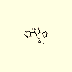 NCCc1c(-c2cccs2)n[nH]c1-c1cnccn1